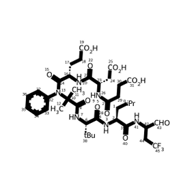 CC(C)C[C@H](NC(=O)[C@@H](NC(=O)C(C)(C)N(C(=O)[C@H](CCC(=O)O)NC(=O)[C@H](CC(=O)O)NC(=O)CCC(=O)O)c1ccccc1)C(C)(C)C)C(=O)NC(C=O)CC(F)(F)F